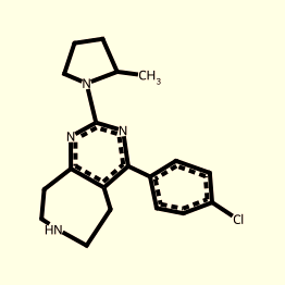 CC1CCCN1c1nc2c(c(-c3ccc(Cl)cc3)n1)CCNCC2